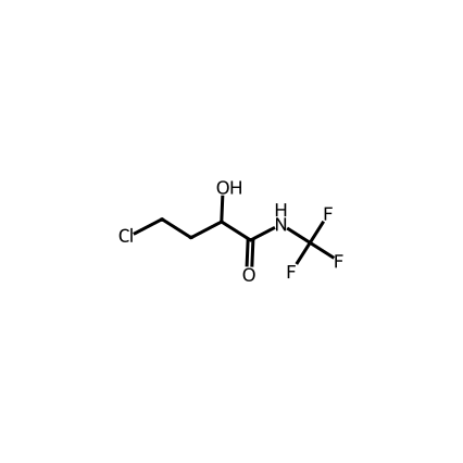 O=C(NC(F)(F)F)C(O)CCCl